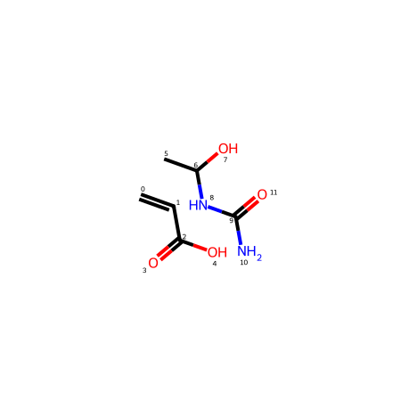 C=CC(=O)O.CC(O)NC(N)=O